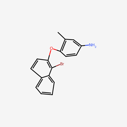 Cc1cc(N)ccc1Oc1ccc2ccccc2c1Br